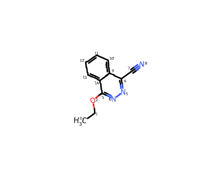 CCOc1nnc(C#N)c2ccccc12